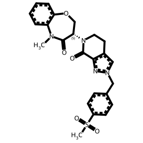 CN1C(=O)[C@@H](N2CCc3cn(Cc4ccc(S(C)(=O)=O)cc4)nc3C2=O)COc2ccccc21